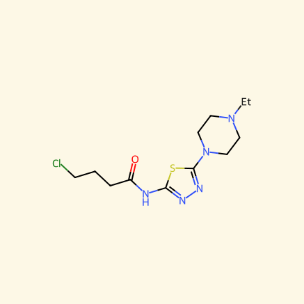 CCN1CCN(c2nnc(NC(=O)CCCCl)s2)CC1